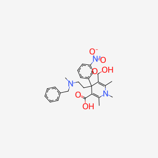 CC1=C(C(=O)O)C(CCN(C)Cc2ccccc2)(c2cccc([N+](=O)[O-])c2)C(C(=O)O)=C(C)N1C